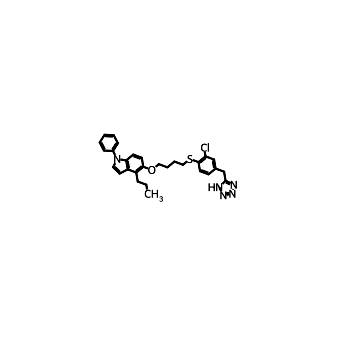 CCCc1c(OCCCCSc2ccc(Cc3nnn[nH]3)cc2Cl)ccc2c1ccn2-c1ccccc1